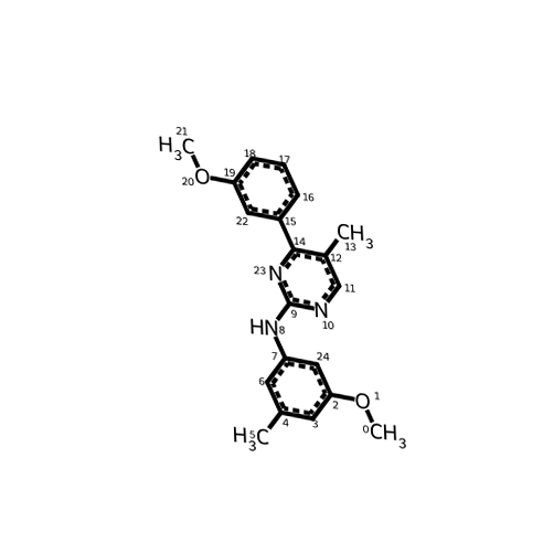 COc1cc(C)cc(Nc2ncc(C)c(-c3cccc(OC)c3)n2)c1